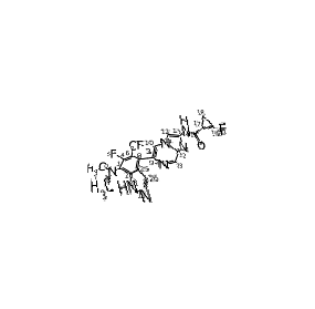 CN(C)c1c(F)c(C(F)(F)F)c(-c2cn3cc(NC(=O)[C@H]4C[C@@H]4F)nc3cn2)c2cn[nH]c12